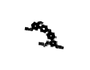 COc1ccc(C(C)C)c(N2CCC(Oc3ccc(N4C[C@H](OC)C[C@@H]4CC(=O)O)cc3)CC2)c1